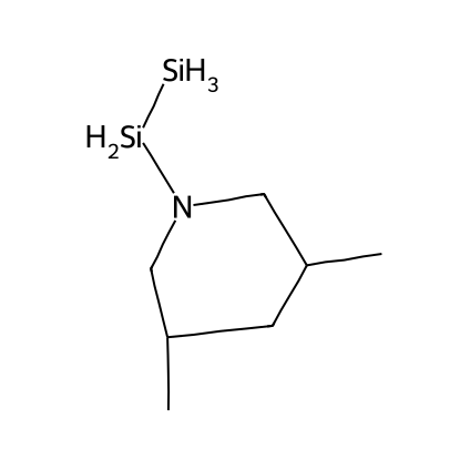 CC1CC(C)CN([SiH2][SiH3])C1